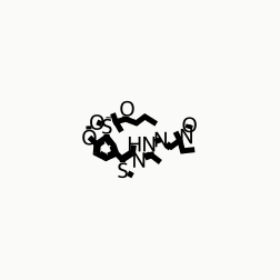 CCCC(=O)C(C)(C)[S+]([O-])c1cc(/C(SC)=C(C)/N=C(/C)N/N=C/C(C)(CC)N=O)ccc1OC